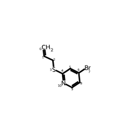 C=CCSc1cc(Br)ccn1